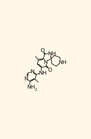 Cc1cc(Nc2ncnc(N)c2C)c(=O)n2c1C(=O)NC21CCNCC1